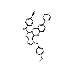 COc1ccc(Cn2cnc3nc(Nc4ccc(C#N)cc4)nc(Oc4ccc(-c5ccncc5)cc4Cl)c32)cc1